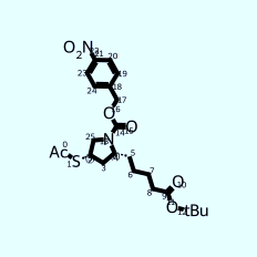 CC(=O)S[C@H]1C[C@@H](CCCCC(=O)OC(C)(C)C)N(C(=O)OCc2ccc([N+](=O)[O-])cc2)C1